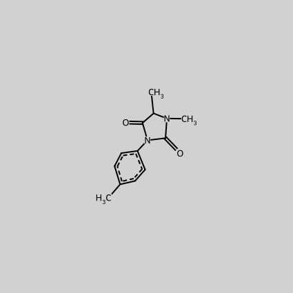 Cc1ccc(N2C(=O)C(C)N(C)C2=O)cc1